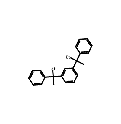 CCC(C)(c1ccccc1)c1cccc(C(C)(CC)c2ccccc2)c1